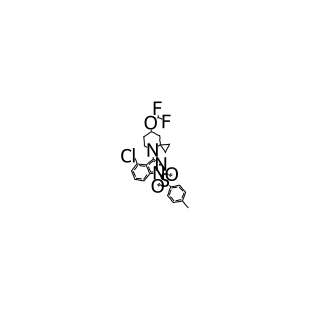 Cc1ccc(S(=O)(=O)n2nc(N3CCC(OC(F)F)CC34CC4)c3c(Cl)cccc32)cc1